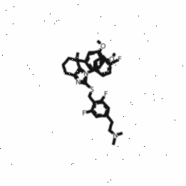 COc1ccc(C2(C)CCCc3nc(SCc4c(F)cc(CCN(C)C)cc4F)n(-c4ccc(F)cc4)c32)cc1OC